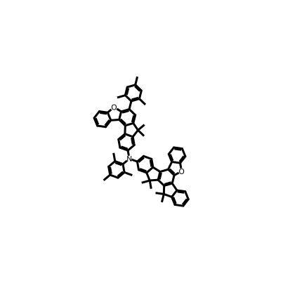 Cc1cc(C)c(-c2cc3c(c4c2oc2ccccc24)-c2ccc(N(c4ccc5c(c4)C(C)(C)c4c6c(c7oc8ccccc8c7c4-5)-c4ccccc4C6(C)C)c4c(C)cc(C)cc4C)cc2C3(C)C)c(C)c1